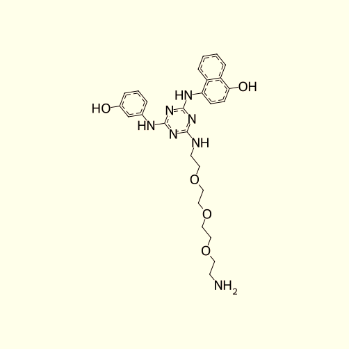 NCCOCCOCCOCCNc1nc(Nc2cccc(O)c2)nc(Nc2ccc(O)c3ccccc23)n1